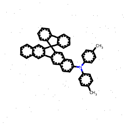 Cc1ccc(N(c2ccc(C)cc2)c2ccc3cc4c(cc3c2)C2(c3ccccc3-c3ccccc32)c2cc3ccccc3cc2-4)cc1